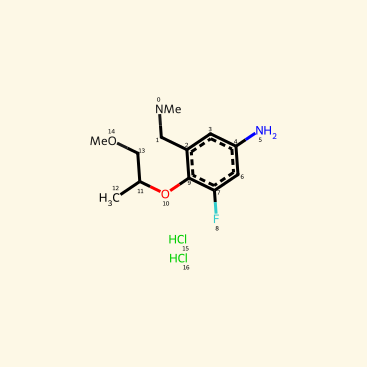 CNCc1cc(N)cc(F)c1OC(C)COC.Cl.Cl